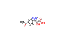 CC(=O)c1ccc([C@H](N)[C@@H](O)C(=O)O)cc1